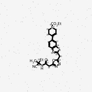 CCOC(=O)N1CC=C(c2ccc3nc(Cc4nnc(CC(=O)NC(C)(C#N)CC)o4)sc3c2)CC1